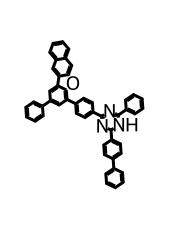 c1ccc(C2=NC(c3ccc(-c4cc(-c5ccccc5)cc5c4oc4cc6ccccc6cc45)cc3)=NC(c3ccc(-c4ccccc4)cc3)N2)cc1